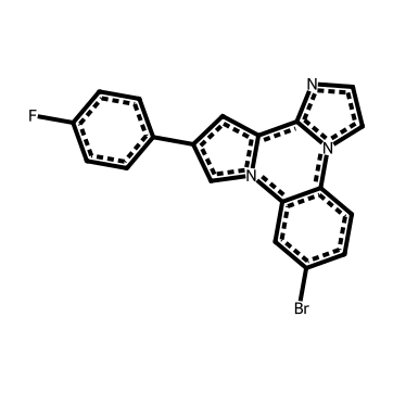 Fc1ccc(-c2cc3c4nccn4c4ccc(Br)cc4n3c2)cc1